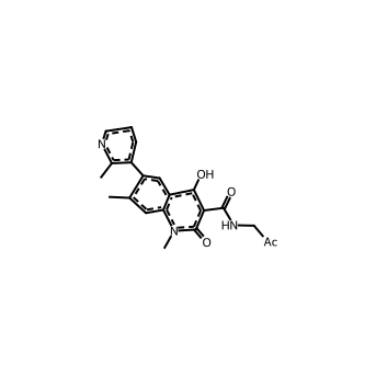 CC(=O)CNC(=O)c1c(O)c2cc(-c3cccnc3C)c(C)cc2n(C)c1=O